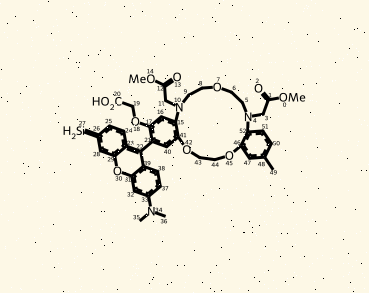 COC(=O)CN1CCOCCN(CC(=O)OC)c2cc(OCC(=O)O)c(C3=c4ccc(=[SiH2])cc4Oc4cc(N(C)C)ccc43)cc2OCCOc2cc(C)ccc21